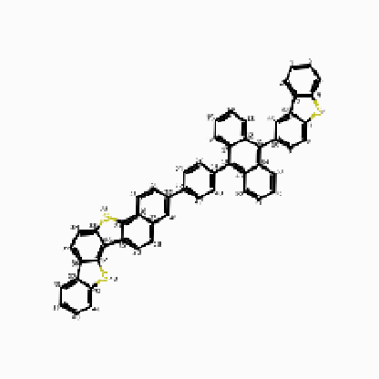 c1ccc2c(c1)sc1ccc(-c3c4ccccc4c(-c4ccc(-c5ccc6c(ccc7c6sc6ccc8c9ccccc9sc8c67)c5)cc4)c4ccccc34)cc12